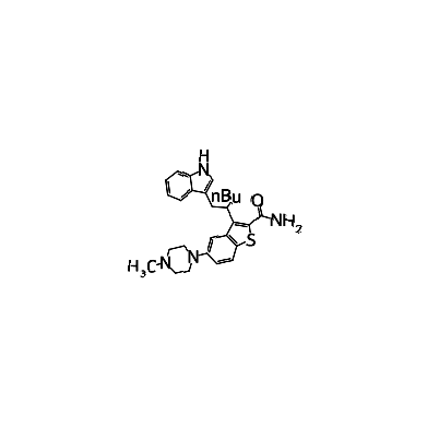 CCCCC(Cc1c[nH]c2ccccc12)c1c(C(N)=O)sc2ccc(N3CCN(C)CC3)cc12